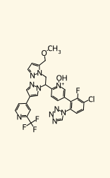 COCc1ccnn1CC(c1ccc(-c2c(-n3cnnn3)ccc(Cl)c2F)c[n+]1O)n1cc(-c2ccnc(C(F)(F)F)c2)cn1